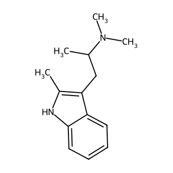 Cc1[nH]c2ccccc2c1CC(C)N(C)C